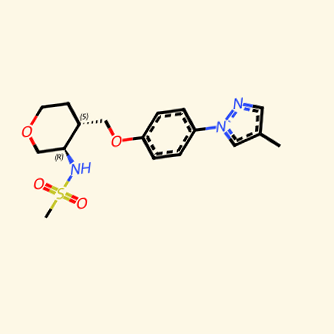 Cc1cnn(-c2ccc(OC[C@H]3CCOC[C@@H]3NS(C)(=O)=O)cc2)c1